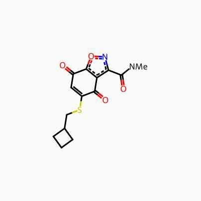 CNC(=O)c1noc2c1C(=O)C(SCC1CCC1)=CC2=O